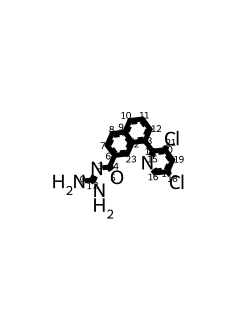 NC(N)=NC(=O)c1ccc2cccc(-c3ncc(Cl)cc3Cl)c2c1